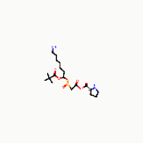 CC(C)(C)C(=O)OC(CCCCCCN)O[PH](=O)CC(=O)OC(=O)[C@@H]1CCCN1